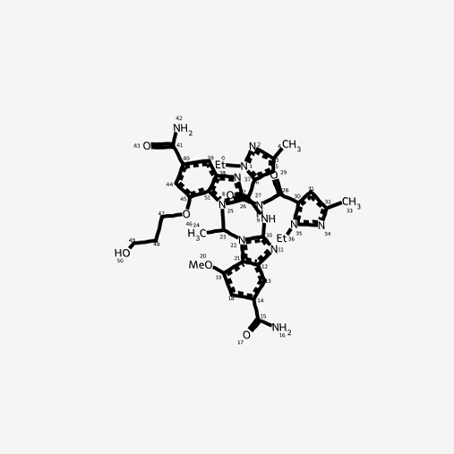 CCn1nc(C)cc1C(=O)Nc1nc2cc(C(N)=O)cc(OC)c2n1C(C)n1c(NC(=O)c2cc(C)nn2CC)nc2cc(C(N)=O)cc(OCCCO)c21